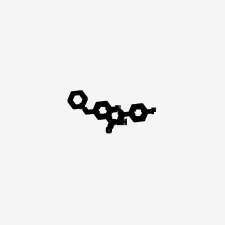 O=c1[nH]c(-c2ccc(F)cc2)nc2ccc(CN3CCCCC3)cc12